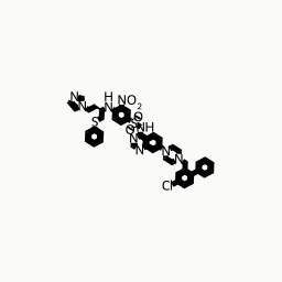 O=[N+]([O-])c1cc(S(=O)(=O)Nc2ncnc3cc(N4CCN(Cc5cc(Cl)ccc5-c5ccccc5)CC4)ccc23)ccc1N[C@H](CCn1ccnc1)CSc1ccccc1